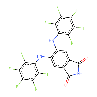 O=C1NC(=O)c2cc(Nc3c(F)c(F)c(F)c(F)c3F)c(Nc3c(F)c(F)c(F)c(F)c3F)cc21